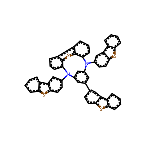 c1ccc2c(c1)sc1ccc(-c3cc4cc(c3)N(c3ccc5sc6ccccc6c5c3)c3cccc5c3sc3c(cccc35)N4c3ccc4sc5ccccc5c4c3)cc12